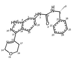 C[C@@H](NC(=O)Nc1cc2[nH]nc(C3=CCOCC3)c2cn1)c1ccccc1